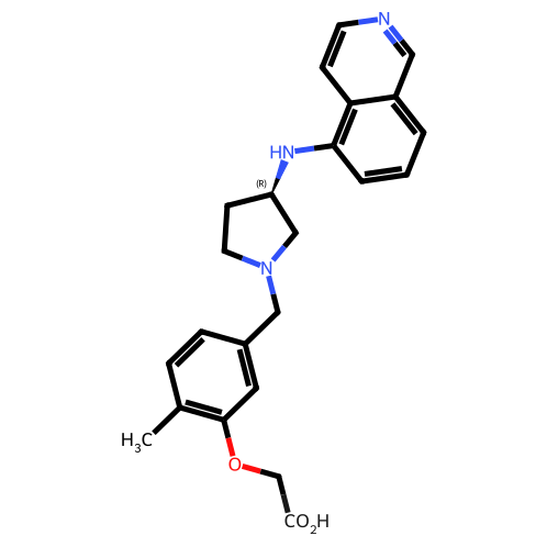 Cc1ccc(CN2CC[C@@H](Nc3cccc4cnccc34)C2)cc1OCC(=O)O